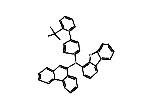 CC(C)(C)c1ccccc1-c1ccc(N(c2cc3ccccc3c3ccccc23)c2cccc3c2oc2ccccc23)cc1